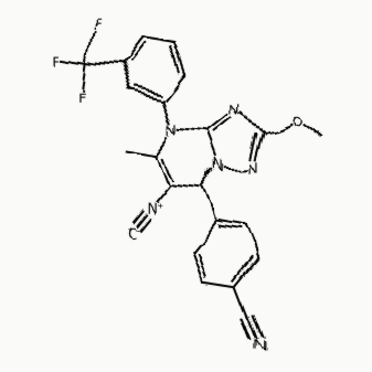 [C-]#[N+]C1=C(C)N(c2cccc(C(F)(F)F)c2)c2nc(OC)nn2C1c1ccc(C#N)cc1